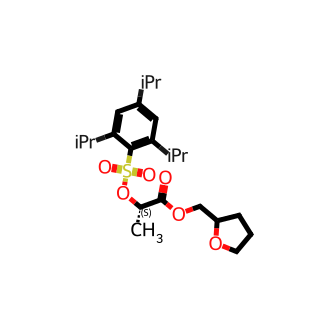 CC(C)c1cc(C(C)C)c(S(=O)(=O)O[C@@H](C)C(=O)OCC2CCCO2)c(C(C)C)c1